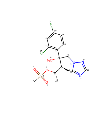 C[C@H](OS(C)(=O)=O)[C@H](C)[C@](O)(Cn1cncn1)c1ccc(F)cc1Cl